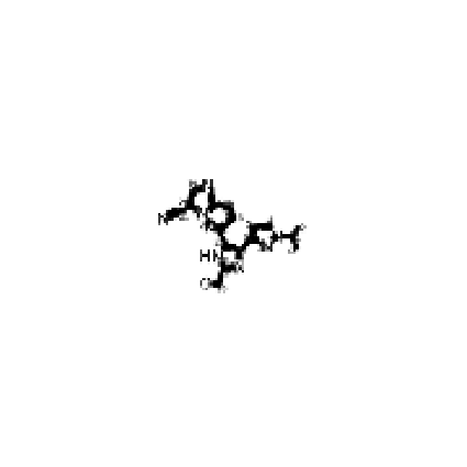 CC(C)n1ccc(-c2nc(C=O)[nH]c2-c2ccc3ncc(C#N)n3n2)n1